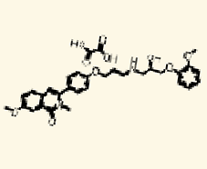 COc1ccc2cc(-c3ccc(OCCCNCC(O)COc4ccccc4OC)cc3)n(C)c(=O)c2c1.O=C(O)C(=O)O